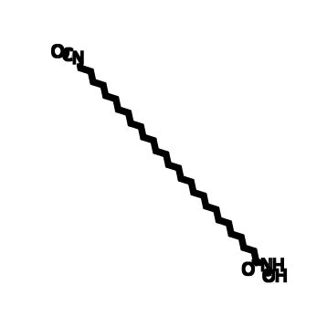 O=C=NCCCCCCCCCCCCCCCCCCCCCCCCCCCCC(=O)NO